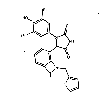 CC(C)(C)c1cc(N2C(=O)NC(=O)C2c2cccc3[nH]n(Cc4cccs4)c23)cc(C(C)(C)C)c1O